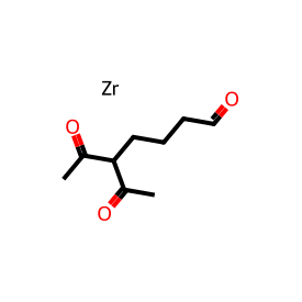 CC(=O)C(CCCC=O)C(C)=O.[Zr]